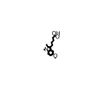 COc1ccc2c(c1)c(CCCCC(=O)O)c(C)n2C